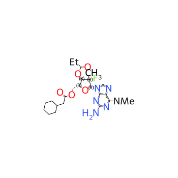 CCC(=O)O[C@@H]1[C@@H](COC(=O)CC2CCCCC2)O[C@@H](n2cnc3c(NC)nc(N)nc32)[C@]1(C)F